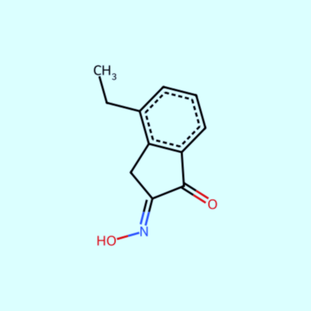 CCc1cccc2c1C/C(=N\O)C2=O